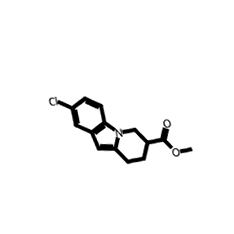 COC(=O)C1CCc2cc3cc(Cl)ccc3n2C1